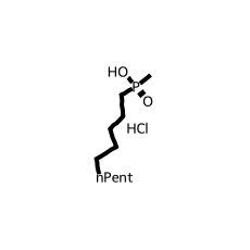 CCCCCCCCCCP(C)(=O)O.Cl